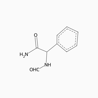 NC(=O)C(NC=O)c1ccccc1